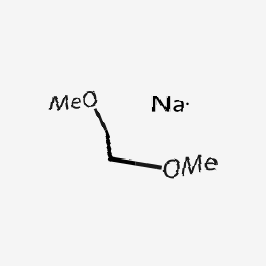 COCOC.[Na]